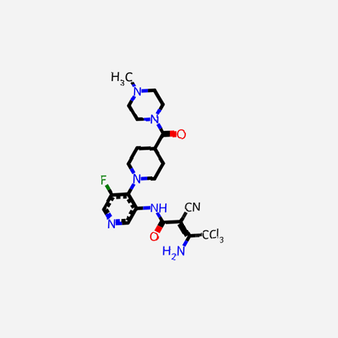 CN1CCN(C(=O)C2CCN(c3c(F)cncc3NC(=O)/C(C#N)=C(\N)C(Cl)(Cl)Cl)CC2)CC1